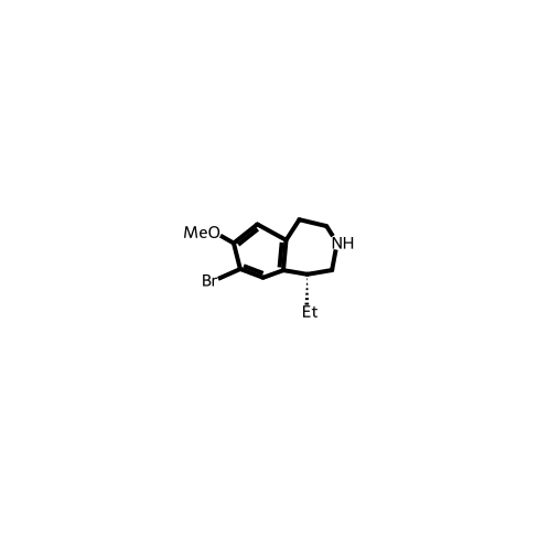 CC[C@H]1CNCCc2cc(OC)c(Br)cc21